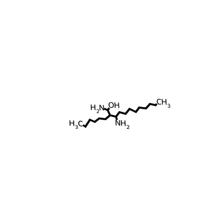 CCCCCCCCCC(N)C(CCCCCC)C(N)O